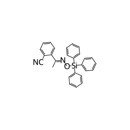 C/C(=N\O[Si](c1ccccc1)(c1ccccc1)c1ccccc1)c1ccccc1C#N